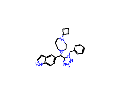 c1ccc(Cn2nnnc2C(c2ccc3[nH]ccc3c2)N2CCCN(C3CCC3)CC2)cc1